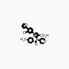 C[C@H]1CC[C@H](C(=O)N(c2nn(-c3ccc(-c4ccco4)c(Cl)c3)cc2C(=O)O)C2CCOCC2)CC1